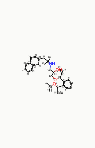 C[SiH](C)OC(c1ccccc1[C@H](OC[C@H](O)CNC(C)(C)Cc1ccc2ccccc2c1)C1CC1)C(C)(C)C